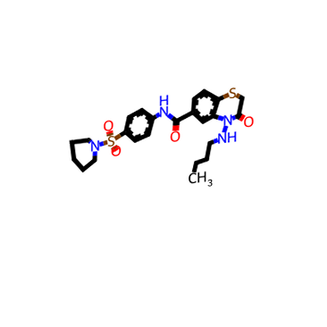 CCCCNN1C(=O)CSc2ccc(C(=O)Nc3ccc(S(=O)(=O)N4CCCCC4)cc3)cc21